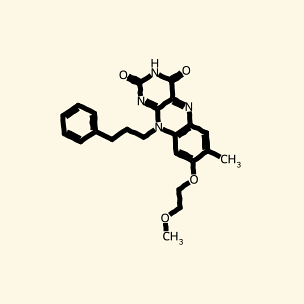 COCCOc1cc2c(cc1C)nc1c(=O)[nH]c(=O)nc-1n2CCCc1ccccc1